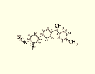 Cc1ccc(C(C)c2ccc(-c3ccc(N=C=S)c(F)c3)cc2)cc1